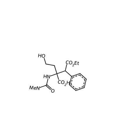 CCOC(=O)C(c1ccccc1)C(CCO)(NC(=O)NC)C(=O)O